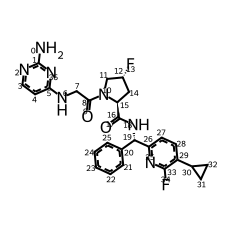 Nc1nccc(NCC(=O)N2C[C@H](F)C[C@H]2C(=O)N[C@@H](c2ccccc2)c2ccc(C3CC3)c(F)n2)n1